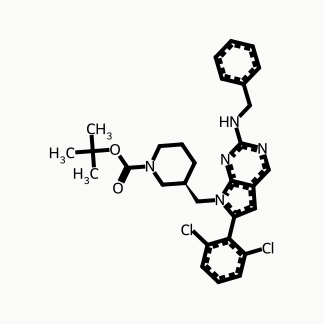 CC(C)(C)OC(=O)N1CCC[C@@H](Cn2c(-c3c(Cl)cccc3Cl)cc3cnc(NCc4ccccc4)nc32)C1